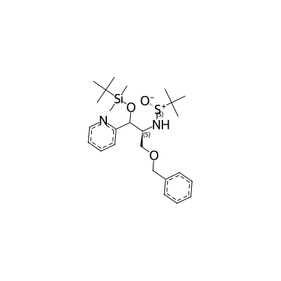 CC(C)(C)[S@@+]([O-])N[C@@H](COCc1ccccc1)C(O[Si](C)(C)C(C)(C)C)c1ccccn1